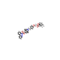 CC(C)(C)OC(=O)CCOc1ccc(CCN2C[C@H]3C[C@H](OC(=O)Nc4ccccc4-c4ccccc4)C[C@H]3C2)cc1